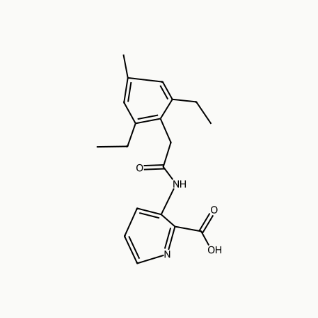 CCc1cc(C)cc(CC)c1CC(=O)Nc1cccnc1C(=O)O